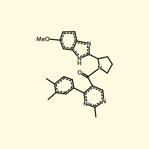 COc1ccc2nc(C3CCCN3C(=O)c3cnc(C)nc3-c3ccc(C)c(C)c3)[nH]c2c1